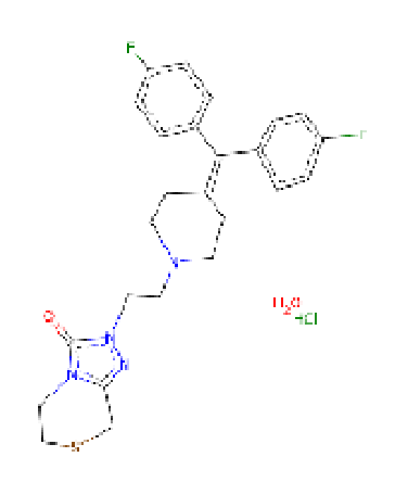 Cl.O.O=c1n(CCN2CCC(=C(c3ccc(F)cc3)c3ccc(F)cc3)CC2)nc2n1CCSC2